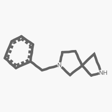 c1ccc(CN2CCC3(CNC3)C2)cc1